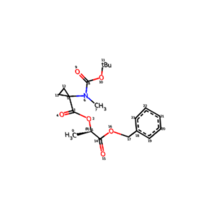 C[C@@H](OC(=O)C1(N(C)C(=O)OC(C)(C)C)CC1)C(=O)OCc1ccccc1